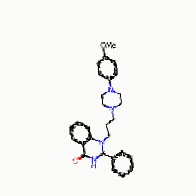 COc1ccc(N2CCN(CCCN3c4ccccc4C(=O)NC3c3ccccc3)CC2)cc1